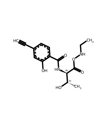 C#Cc1ccc(C(=O)N[C@@H](C(=O)ONCC)[C@H](C)O)c(O)c1